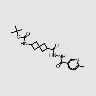 Cc1ccc(C(=O)NNC(=O)C2CC3(CC(NC(=O)OC(C)(C)C)C3)C2)cn1